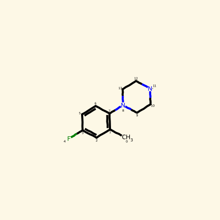 Cc1cc(F)ccc1N1CC[N]CC1